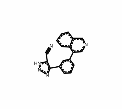 N#Cc1[nH]nnc1-c1cccc(-c2cncc3ccccc23)c1